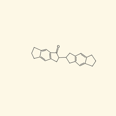 O=C1c2cc3c(cc2CC1C1Cc2cc4c(cc2C1)CCC4)CCC3